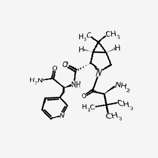 CC(C)(C)[C@H](N)C(=O)N1C[C@H]2[C@@H]([C@H]1C(=O)N[C@H](C(N)=O)c1cccnc1)C2(C)C